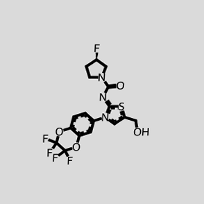 O=C(/N=c1\sc(CO)cn1-c1ccc2c(c1)OC(F)(F)C(F)(F)O2)N1CC[C@@H](F)C1